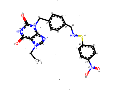 CCn1cnc2c1c(=O)[nH]c(=O)n2Cc1ccc(CNSc2ccc([N+](=O)[O-])cc2)cc1